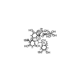 CCCCCCCCCCOP(=O)(OC(CC(C)c1cc(C(C)(C)C)c(O)cc1C)(c1cc(C(C)(C)C)c(O)cc1C)c1cc(C(C)(C)C)c(O)cc1C)OP(=O)(O)O.O=P(O)(O)O